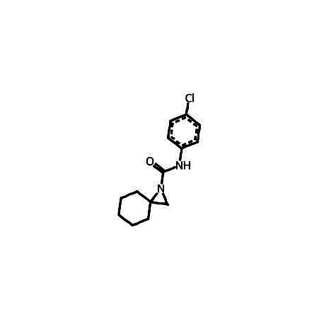 O=C(Nc1ccc(Cl)cc1)N1CC12CCCCC2